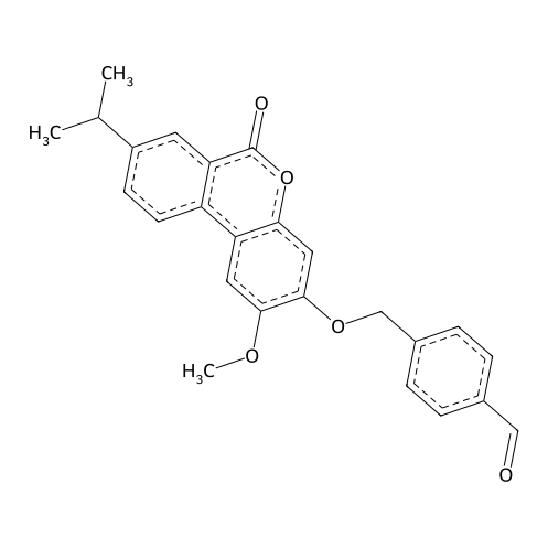 COc1cc2c(cc1OCc1ccc(C=O)cc1)oc(=O)c1cc(C(C)C)ccc12